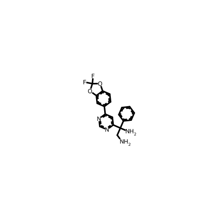 NCC(N)(c1ccccc1)c1cc(-c2ccc3c(c2)OC(F)(F)O3)ncn1